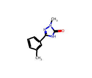 Cc1cccc(-c2nn(C)c(=O)[nH]2)c1